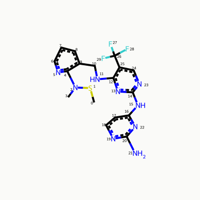 CSN(C)c1ncccc1CNc1nc(Nc2ccnc(N)n2)ncc1C(F)(F)F